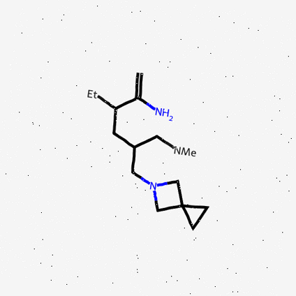 C=C(N)C(CC)CC(CNC)CN1CC2(CC2)C1